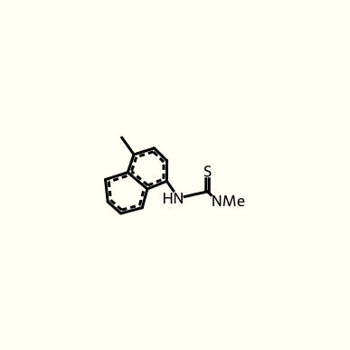 CNC(=S)Nc1ccc(C)c2ccccc12